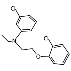 CCN(CCOc1ccccc1Cl)c1cccc(Cl)c1